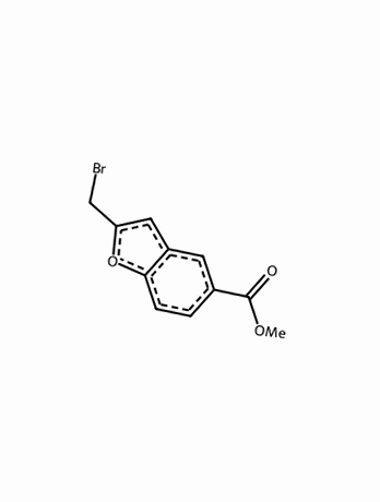 COC(=O)c1ccc2oc(CBr)cc2c1